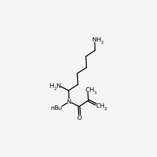 C=C(C)C(=O)N(CCCC)C(N)CCCCCN